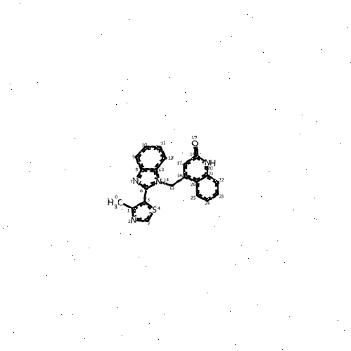 Cc1ncsc1-c1nc2ccccc2n1Cc1cc(=O)[nH]c2ccccc12